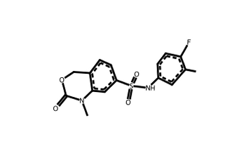 Cc1cc(NS(=O)(=O)c2ccc3c(c2)N(C)C(=O)OC3)ccc1F